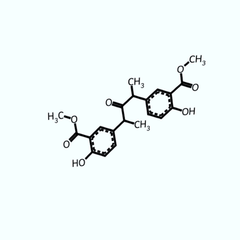 COC(=O)c1cc(C(C)C(=O)C(C)c2ccc(O)c(C(=O)OC)c2)ccc1O